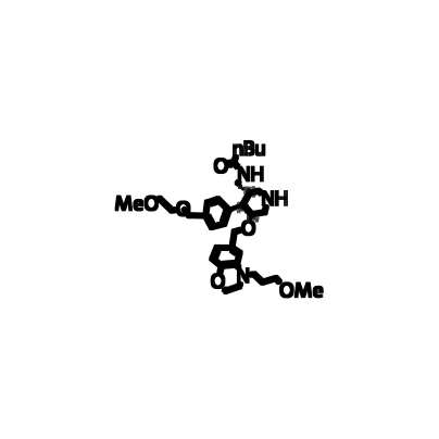 CCCCC(=O)NC[C@@H]1CNC[C@H](OCc2ccc3c(c2)N(CCCOC)CCO3)[C@H]1c1ccc(COCCOC)cc1